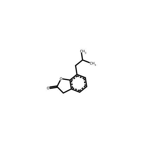 CC(C)Cc1cccc2c1OC(=O)C2